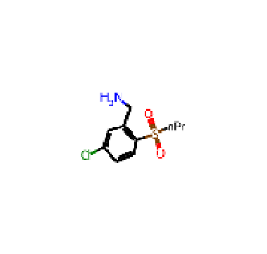 CCCS(=O)(=O)c1ccc(Cl)cc1CN